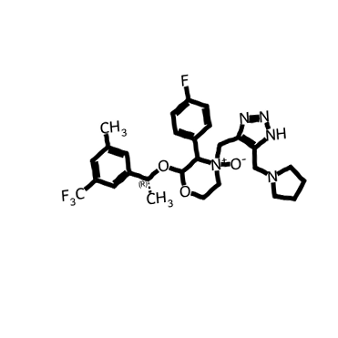 Cc1cc([C@@H](C)OC2OCC[N+]([O-])(Cc3nn[nH]c3CN3CCCC3)C2c2ccc(F)cc2)cc(C(F)(F)F)c1